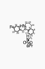 CCCS(=O)(=O)NCc1ccc2c(c1)C(Cc1ccc(F)cc1)NCCC2